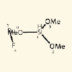 CO[SiH](OC)OC.[F][Ru]